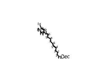 CCCCCCCCCCCCCCCCCCCCn1cc(C)nn1